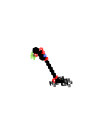 CC(C)CCC(C)(C)C(=O)OCCCCCCCCCCCOc1ccc2cc(-c3ccccc3OC(F)(F)F)c(=O)oc2n1